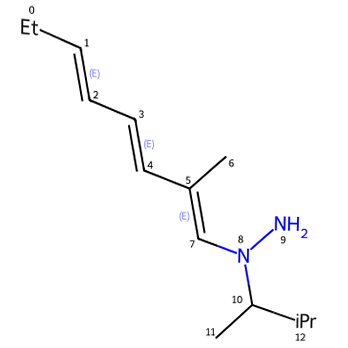 CC/C=C/C=C/C(C)=C/N(N)C(C)C(C)C